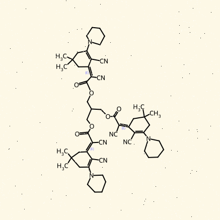 CC1(C)CC(N2CCCCC2)=C(C#N)/C(=C(\C#N)C(=O)OCC(COC(=O)/C(C#N)=C2\CC(C)(C)CC(N3CCCCC3)=C2C#N)COC(=O)/C(C#N)=C2\CC(C)(C)CC(N3CCCCC3)=C2C#N)C1